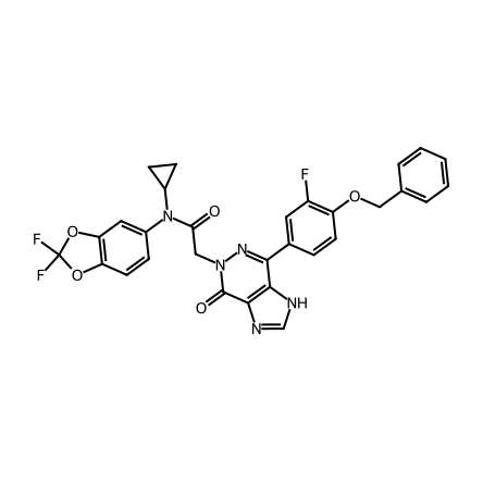 O=C(Cn1nc(-c2ccc(OCc3ccccc3)c(F)c2)c2[nH]cnc2c1=O)N(c1ccc2c(c1)OC(F)(F)O2)C1CC1